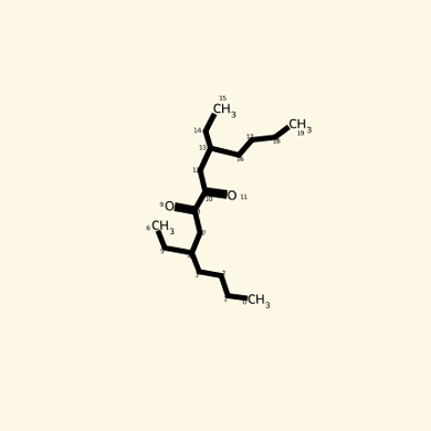 CCCCC(CC)CC(=O)C(=O)CC(CC)CCCC